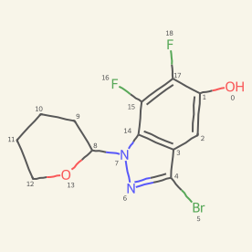 Oc1cc2c(Br)nn(C3CCCCO3)c2c(F)c1F